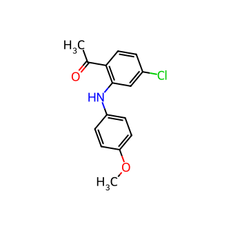 COc1ccc(Nc2cc(Cl)ccc2C(C)=O)cc1